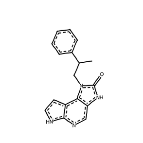 CC(Cn1c(=O)[nH]c2cnc3[nH]ccc3c21)c1ccccc1